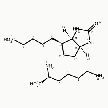 NCCCC[C@H](N)C(=O)O.O=C(O)CCCC[C@@H]1SC[C@@H]2NC(=O)N[C@@H]21